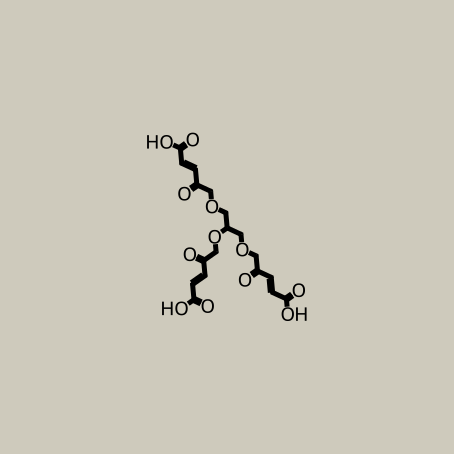 O=C(O)C=CC(=O)COCC(COCC(=O)C=CC(=O)O)OCC(=O)C=CC(=O)O